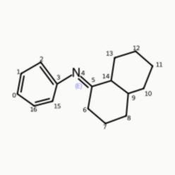 c1ccc(/N=C2\CCCC3CCCCC23)cc1